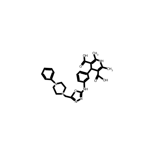 CC1=C(C(=O)O)C(c2cccc(Nc3nnc(CN4CCN(c5ccccc5)CC4)o3)c2)C(C(=O)O)=C(C)N1